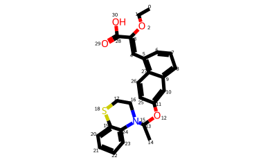 CCO/C(=C\c1cccc2cc(OC(C)N3CCSc4ccccc43)ccc12)C(=O)O